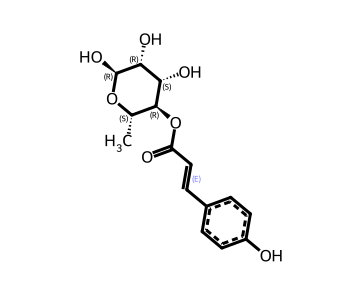 C[C@@H]1O[C@@H](O)[C@H](O)[C@H](O)[C@H]1OC(=O)/C=C/c1ccc(O)cc1